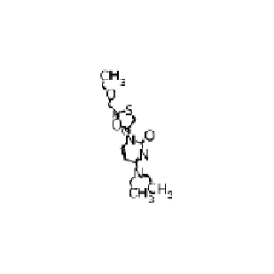 CCOC[C@@H]1O[C@H](n2ccc(N(CC)CC)nc2=O)CS1